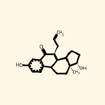 C=CC[C@@H]1C(=O)c2cc(O)ccc2C2CC[C@@]3(C)C(CC[C@@H]3O)C21